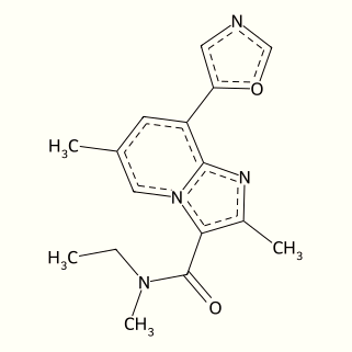 CCN(C)C(=O)c1c(C)nc2c(-c3cnco3)cc(C)cn12